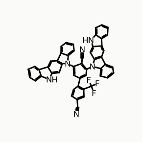 N#Cc1ccc(-c2cc(-n3c4ccccc4c4cc5c(cc43)[nH]c3ccccc35)c(C#N)c(-n3c4ccccc4c4cc5c(cc43)[nH]c3ccccc35)c2)c(C(F)(F)F)c1